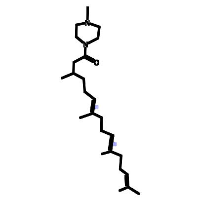 CC(C)=CCC/C(C)=C/CC/C(C)=C/CCC(C)CC(=O)N1CCN(C)CC1